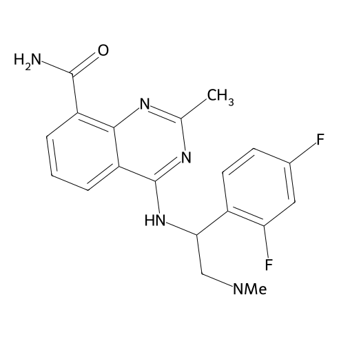 CNCC(Nc1nc(C)nc2c(C(N)=O)cccc12)c1ccc(F)cc1F